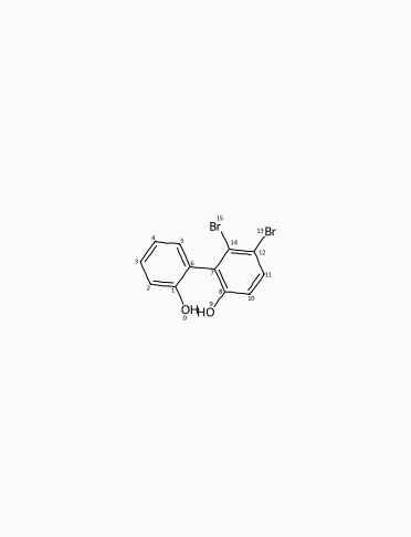 Oc1ccccc1-c1c(O)ccc(Br)c1Br